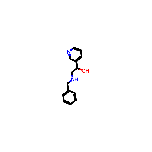 OC(CNCc1ccccc1)c1cccnc1